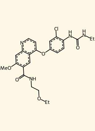 CCNC(=O)Nc1ccc(Oc2ccnc3cc(OC)c(C(=O)NCCOCC)cc23)cc1Cl